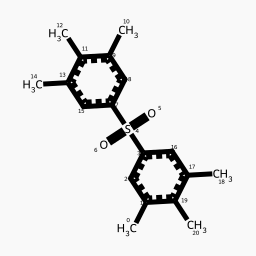 Cc1cc(S(=O)(=O)c2cc(C)c(C)c(C)c2)cc(C)c1C